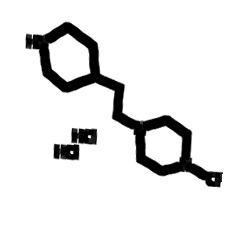 Cl.Cl.FC(F)(F)N1CCN(CCC2CCNCC2)CC1